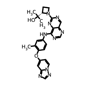 Cc1cc(Nc2ncnc3cnc(N4CC[C@H]4C(C)(C)O)nc23)ccc1Oc1ccn2ncnc2c1